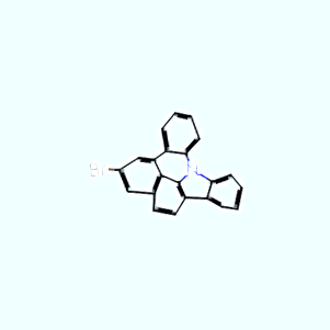 Brc1cc2ccc3c4ccccc4n4c5ccccc5c(c1)c2c34